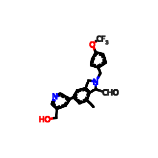 Cc1cc(-c2cncc(CO)c2)cc2c1C(C=O)N(Cc1ccc(OC(F)(F)F)cc1)C2